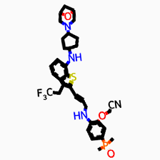 CP(C)(=O)c1ccc(NCC#Cc2sc3c(NC4CCC(N5CC6CC(C5)O6)CC4)cccc3c2CC(F)(F)F)c(OCC#N)c1